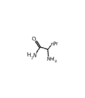 CCCC(N)C(N)=O